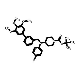 COc1cc(-c2cccc(CN(c3ccc(F)cc3)C3CCN(C(=O)OC(C)(C)C)CC3)c2)cc(OC)c1OC